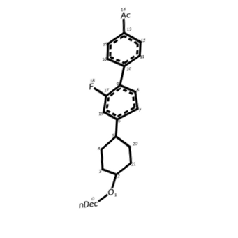 CCCCCCCCCCOC1CCC(c2ccc(-c3ccc(C(C)=O)cc3)c(F)c2)CC1